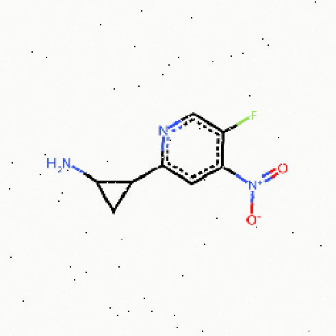 NC1CC1c1cc([N+](=O)[O-])c(F)cn1